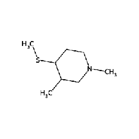 CSC1CCN(C)CC1C